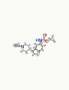 CC(C)(C)N1CCC(c2csc3ccc(NC(=O)OC4CC4)cc23)CC1